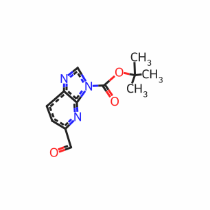 CC(C)(C)OC(=O)n1cnc2ccc(C=O)nc21